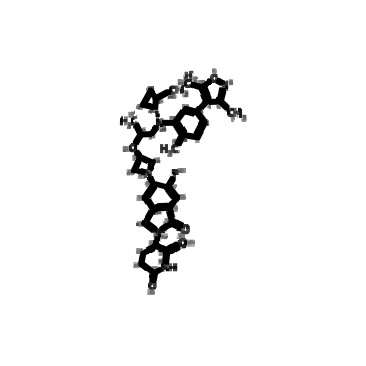 Cc1ccc(-c2c(C)noc2C)cc1N(CC(C)OC1CN(c2cc3c(cc2F)C(=O)N(C2CCC(=O)NC2=O)C3)C1)[C@@H]1CCC1C